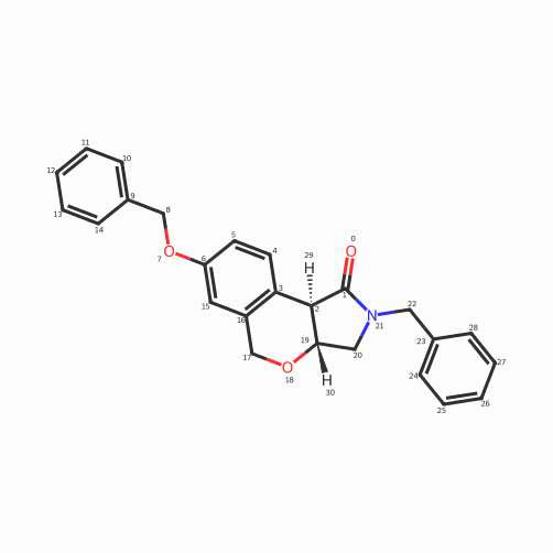 O=C1[C@@H]2c3ccc(OCc4ccccc4)cc3CO[C@H]2CN1Cc1ccccc1